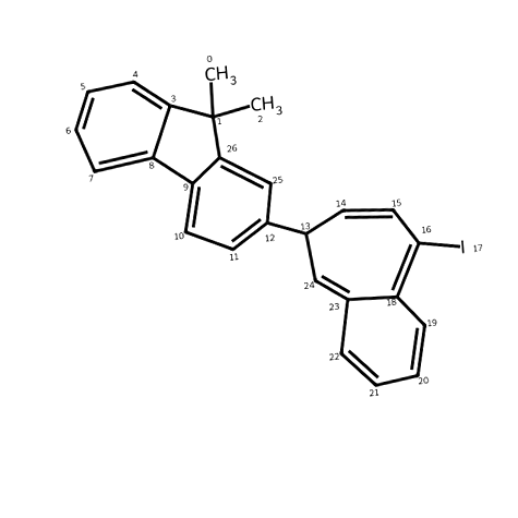 CC1(C)c2ccccc2-c2ccc(C3C=CC(I)=c4ccccc4=C3)cc21